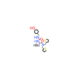 CCCCC(NC(=O)NCc1ccc(O)cc1)C(=O)N(Cc1cccs1)Cc1cccs1